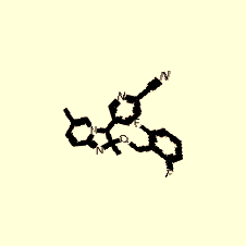 CC1=CN2C(=NC(C)(OCc3c(F)cccc3F)C2c2ccc(C#N)nc2)C=C1